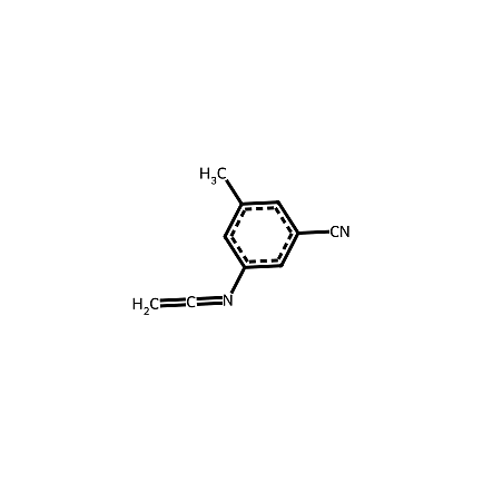 C=C=Nc1cc(C)cc(C#N)c1